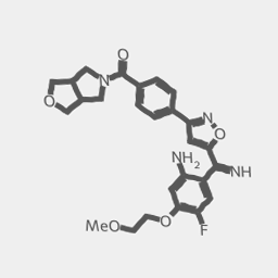 COCCOc1cc(N)c(C(=N)c2cc(-c3ccc(C(=O)N4CC5COCC5C4)cc3)no2)cc1F